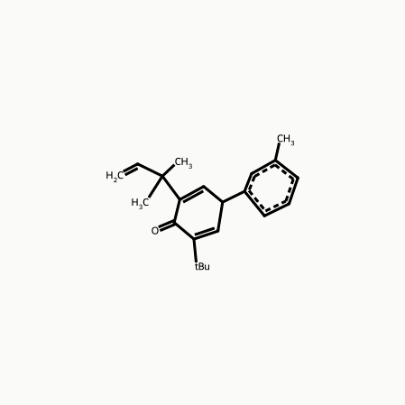 C=CC(C)(C)C1=CC(c2cccc(C)c2)C=C(C(C)(C)C)C1=O